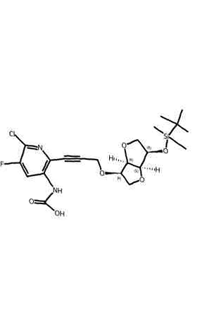 CC(C)(C)[Si](C)(C)O[C@@H]1CO[C@H]2[C@@H]1OC[C@H]2OCC#Cc1nc(Cl)c(F)cc1NC(=O)O